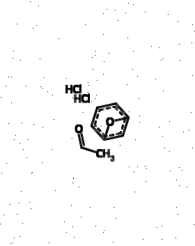 CC=O.Cl.Cl.c1cc2cc(c1)O2